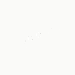 CC1CC[C@@H]2C[C@H](c3cc(F)c(-c4cc(F)c(C5=NC(C)(C)CO5)c(F)c4)c(F)c3)CC[C@@H]2C1